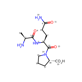 C[C@H](N)C(=O)N[C@@H](CCC(N)=O)C(=O)N1CCC[C@H]1C(=O)O